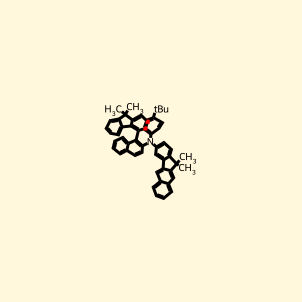 CC(C)(C)c1ccc(N(c2ccc3c(c2)-c2cc4ccccc4cc2C3(C)C)c2ccc3ccccc3c2-c2cccc3c2-c2ccccc2C3(C)C)cc1